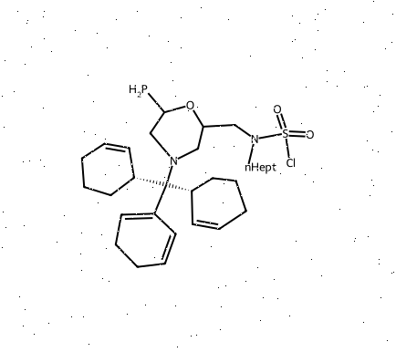 CCCCCCCN(CC1CN(C(C2=CCCC=C2)([C@H]2C=CCCC2)[C@H]2C=CCCC2)CC(P)O1)S(=O)(=O)Cl